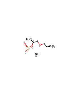 C=CCOCC(C)O[SH](=O)=O.[NaH]